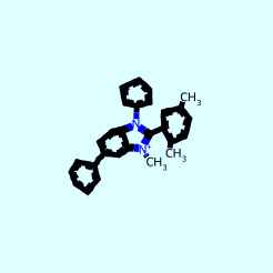 Cc1ccc(C)c(-c2n(-c3ccccc3)c3ccc(-c4ccccc4)cc3[n+]2C)c1